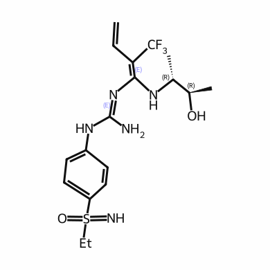 C=C/C(=C(\N=C(/N)Nc1ccc(S(=N)(=O)CC)cc1)N[C@H](C)[C@@H](C)O)C(F)(F)F